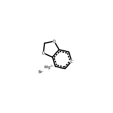 [Br-].[Mg+2].[c-]1ccc2c(c1)OCO2